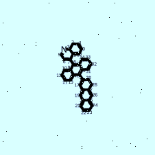 C1=CCC2N=CC=C(c3c4ccccc4c(C4=Cc5cc6ccccc6cc5CC4)c4ccccc34)C2=C1